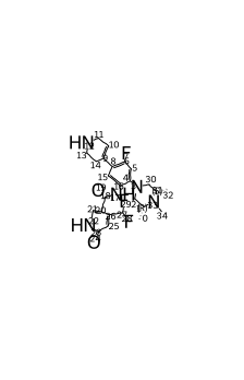 C[C@@H]1CN(c2cc(F)c(C3=CCNCC3)cc2NC(=O)c2c[nH]c(=O)cc2C(F)F)C[C@H](C)N1C